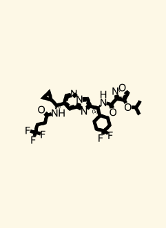 CC(C)Oc1conc1C(=O)N[C@H](c1cn2ncc([C@H](NC(=O)CCC(F)(F)F)C3CC3)cc2n1)C1CCC(F)(F)CC1